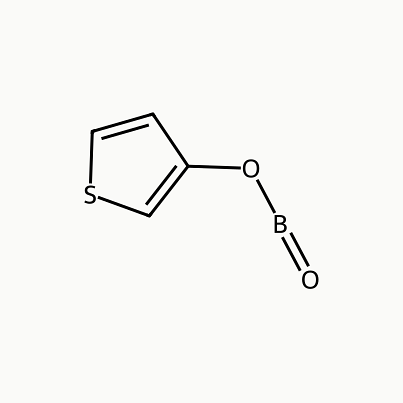 O=BOc1ccsc1